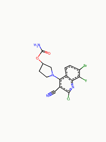 N#Cc1c(Cl)nc2c(F)c(Br)ccc2c1N1CCC(OC(N)=O)C1